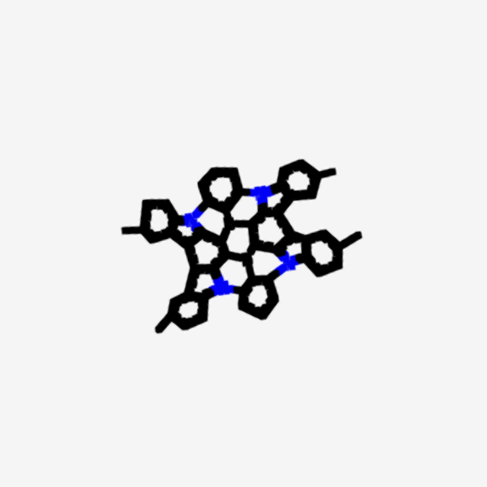 Cc1ccc2c(c1)c1c3c4cc(C)ccc4n4c3c3c5c1n2-c1cccc2c1B5c1c5c6c(c7cc(C)ccc7n6-c6cccc-4c6B35)c3c4cc(C)ccc4n-2c13